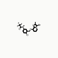 Cc1nc2c(OCc3cc(N(C)C(=O)C(F)(F)F)ccc3Cl)cccn2c1Br